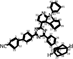 N#Cc1ccc(-c2ccc(-c3nc(-c4ccc([C@]56CC7C[C@H](C[C@H](C7)C5)C6)cc4)nc(-c4ccnc5c4c4ccccc4n5-c4ccccc4)n3)cc2)cc1